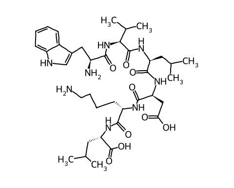 CC(C)C[C@H](NC(=O)[C@H](CCCCN)NC(=O)[C@H](CC(=O)O)NC(=O)[C@H](CC(C)C)NC(=O)[C@@H](NC(=O)[C@@H](N)Cc1c[nH]c2ccccc12)C(C)C)C(=O)O